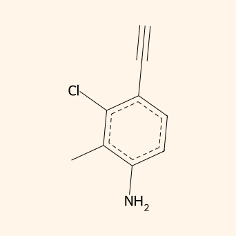 C#Cc1ccc(N)c(C)c1Cl